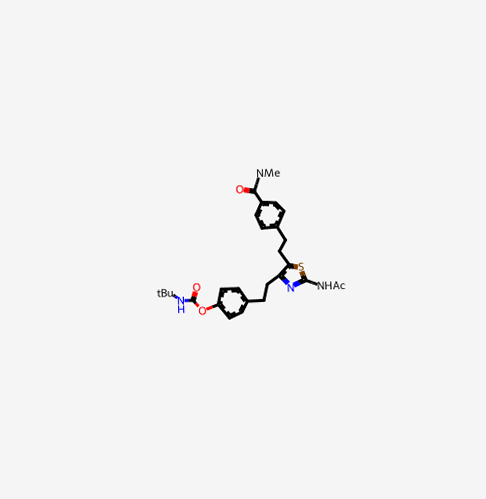 CNC(=O)c1ccc(CCc2sc(NC(C)=O)nc2CCc2ccc(OC(=O)NC(C)(C)C)cc2)cc1